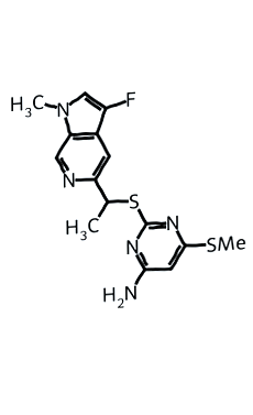 CSc1cc(N)nc(SC(C)c2cc3c(F)cn(C)c3cn2)n1